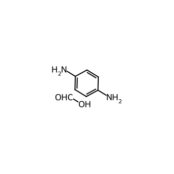 Nc1ccc(N)cc1.O=CO